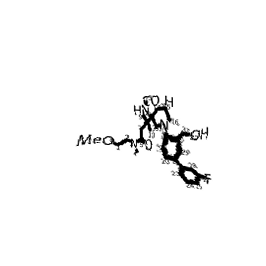 COCCN(C)C(=O)CC(C)(C)C1(NC(=O)O)CCCN(c2ccc(-c3cccc(F)c3)cc2CO)C1